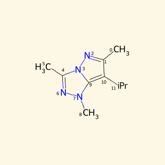 Cc1nn2c(C)nn(C)c2c1C(C)C